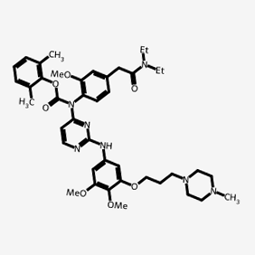 CCN(CC)C(=O)Cc1ccc(N(C(=O)Oc2c(C)cccc2C)c2ccnc(Nc3cc(OC)c(OC)c(OCCCN4CCN(C)CC4)c3)n2)c(OC)c1